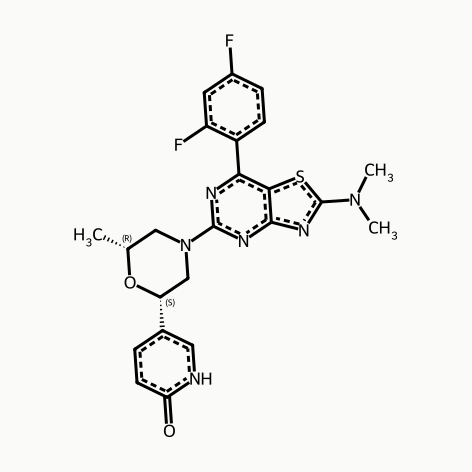 C[C@@H]1CN(c2nc(-c3ccc(F)cc3F)c3sc(N(C)C)nc3n2)C[C@H](c2ccc(=O)[nH]c2)O1